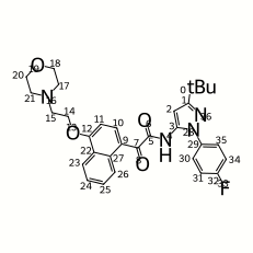 CC(C)(C)c1cc(NC(=O)C(=O)c2ccc(OCCN3CCOCC3)c3ccccc23)n(-c2ccc(F)cc2)n1